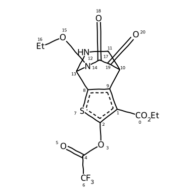 CCOC(=O)c1c(OC(=O)C(F)(F)F)sc2c1C1CNC2N(OCC)C(=O)C1=O